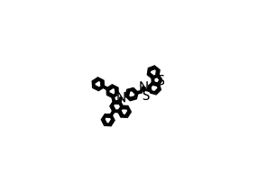 c1ccc(-c2ccc3c(c2)c2cc(-c4ccccc4)c4ccccc4c2n3-c2ccc(-c3nc4c(ccc5sc6ccccc6c54)s3)cc2)cc1